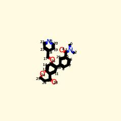 CN(C)C(=O)c1cccc(-c2cc3c(cc2OCc2ccncc2)OCCC3=O)c1